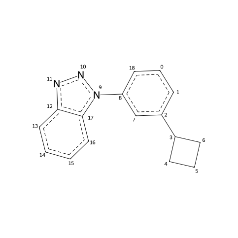 c1cc(C2CCC2)cc(-n2nnc3ccccc32)c1